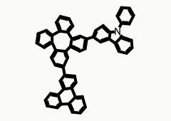 c1ccc(-n2c3ccccc3c3cc(-c4ccc5c(c4)-c4ccccc4-c4ccccc4-c4ccc(-c6ccc7c8ccccc8c8ccccc8c7c6)cc4-5)ccc32)cc1